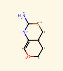 NC1NC2=COCCC2CS1